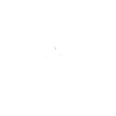 O=C1N[C@H](Cc2ccc(Br)cc2)c2nc3ccc(C(F)(F)F)cc3n21